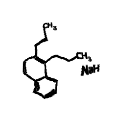 CCCc1ccc2ccccc2c1CCC.[NaH]